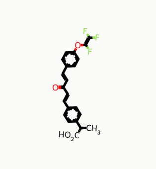 CC(C(=O)O)c1ccc(/C=C/C(=O)/C=C/c2ccc(OC(F)=C(F)F)cc2)cc1